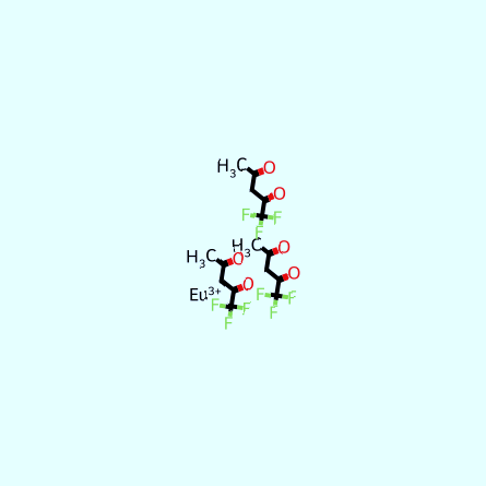 CC(=O)CC(=O)C(F)(F)F.CC(=O)CC(=O)C(F)(F)F.CC(=O)CC(=O)C(F)(F)F.[Eu+3]